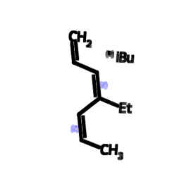 C=C/C(=C(\C=C/C)CC)[C@H](C)CC